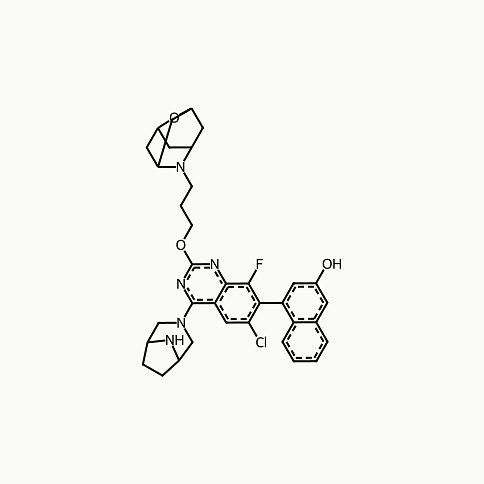 Oc1cc(-c2c(Cl)cc3c(N4CC5CCC(C4)N5)nc(OCCCN4C5CC6CC4CC(C5)O6)nc3c2F)c2ccccc2c1